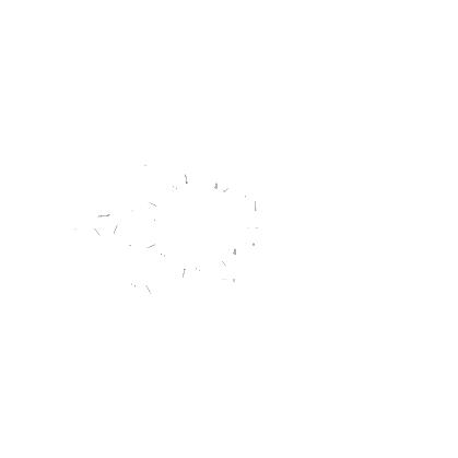 CCC(C)CC(C)CCCCCCCCC(=O)NC1C[C@@H](O)[C@@H](O)NC(=O)C2[C@@H](O)CCN2C(=O)C(C(O)CC(N)=O)NC(=O)C(C(O)C(O)c2ccc(O)cc2)NC(=O)C2C[C@@H](O)CN2C(=O)C([C@@H](C)O)NC1=O